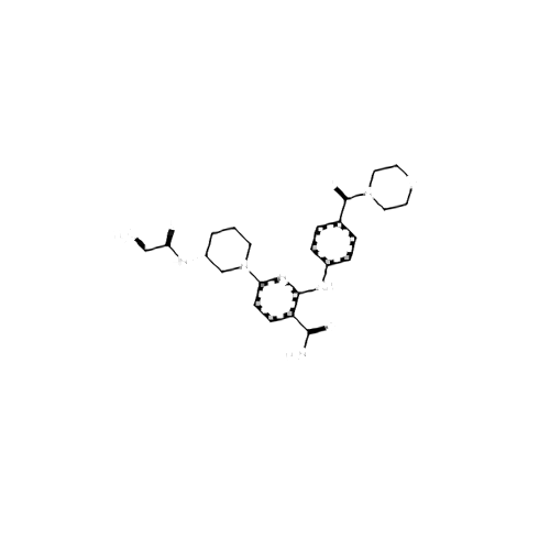 C=CC(=O)N[C@@H]1CCCN(c2ccc(C(N)=O)c(Nc3ccc(C(=O)N4CCOCC4)cc3)n2)C1